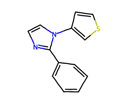 c1ccc(-c2nccn2-c2ccsc2)cc1